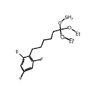 CCOC(CCCCCc1c(F)cc(F)cc1F)(O[SiH3])OCC